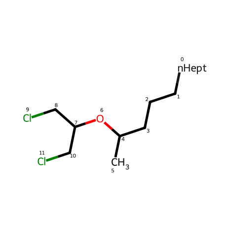 CCCCCCCCCCC(C)OC(CCl)CCl